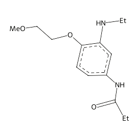 CCNc1cc(NC(=O)CC)ccc1OCCOC